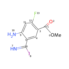 COC(=O)c1cc(C(=N)I)c(N)cc1F